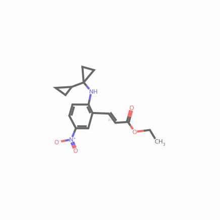 CCOC(=O)/C=C/c1cc([N+](=O)[O-])ccc1NC1(C2CC2)CC1